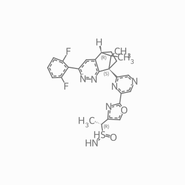 C[C@H](c1coc(-c2cncc([C@@]34CC[C@@H](c5cc(-c6c(F)cccc6F)nnc53)C4(C)C)n2)n1)[SH](=N)=O